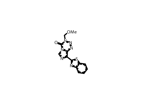 COCn1nnc2c(-c3nc4ccccc4s3)ncn2c1=O